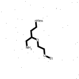 CCCCCCCCC(CN)OCCOCC